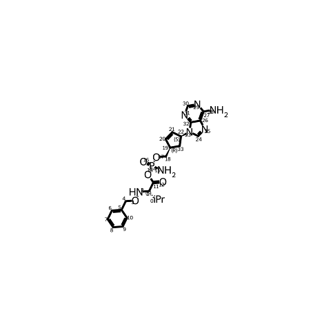 CC(C)[C@H](NOCc1ccccc1)C(=O)OP(N)(=O)OC[C@H]1C=C[C@@H](n2cnc3c(N)ncnc32)C1